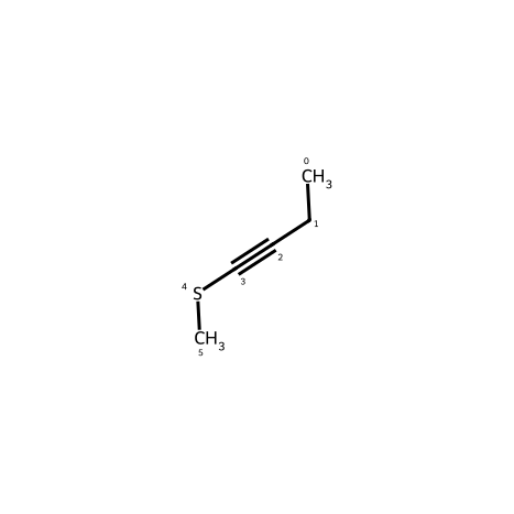 CCC#CSC